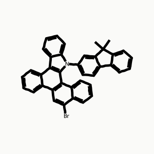 CC1(C)c2ccccc2-c2ccc(-n3c4ccccc4c4c5ccccc5c5cc(Br)c6ccccc6c5c43)cc21